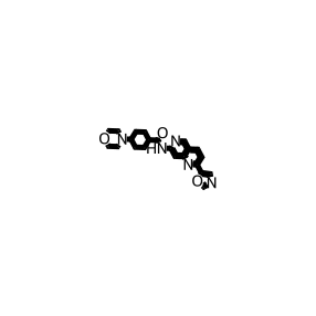 O=C(Nc1cc2nc(-c3cnco3)ccc2cn1)C1CCC(N2CCOCC2)CC1